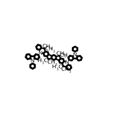 CC1(C)c2cc3c(cc2-c2cc4c(cc21)N(c1ccc2c(c1)c1ccccc1n2-c1ccccc1)c1ccccc1C4(C)C)C(C)(C)c1cc2c(cc1-3)C(C)(C)c1ccccc1N2c1ccc2c(c1)c1ccccc1n2-c1ccccc1